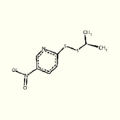 [CH2][C@H](C)SSc1ccc([N+](=O)[O-])cn1